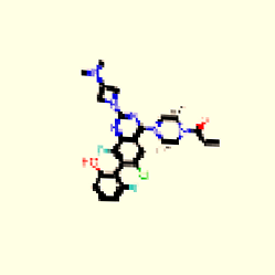 C=CC(=O)N1C[C@H](C)N(c2nc(N3CC(N(C)C)C3)nc3c(F)c(-c4c(O)cccc4F)c(Cl)cc23)C[C@@H]1C